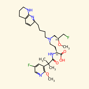 COc1ncc(F)cc1C(C)(C)C(=O)N[C@@H](CCN(CCCCc1ccc2c(n1)NCCC2)C[C@@H](CF)OC)C(=O)O